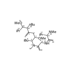 C=C(CC(OC)C(C(C)CC)N(C)C(=C)CNC(=C)C(NC)C(C)C)C(CCCC)C(OC)C(C)C